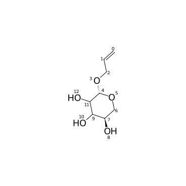 C=CCO[C@@H]1OC[C@@H](O)C(O)C1O